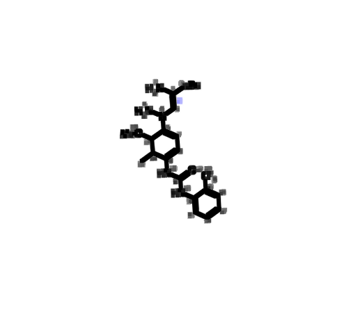 CCCC/C(N)=C/N(N)C1=CC=C(NC(=O)Nc2ccccc2C(F)(F)F)C(C)C1OC